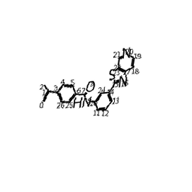 C=C(C)c1ccc(C(=O)Nc2cccc(-c3nc4ccncc4s3)c2)cc1